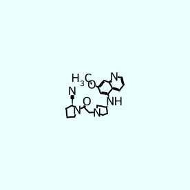 COc1cc(N[C@@H]2CCN(CC(=O)N3CCC[C@H]3C#N)C2)c2cccnc2c1